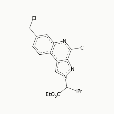 CCOC(=O)C(C(C)C)n1cc2c(n1)c(Cl)nc1cc(CCl)ccc12